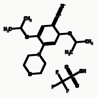 CC(C)OC1=CC(=[N+]=[N-])C(OC(C)C)C=C1N1CCOCC1.O=S(=O)(O)C(F)(F)F